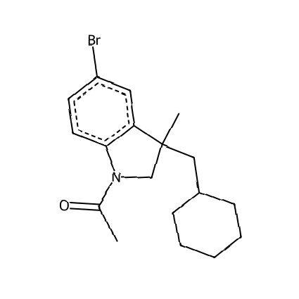 CC(=O)N1CC(C)(CC2CCCCC2)c2cc(Br)ccc21